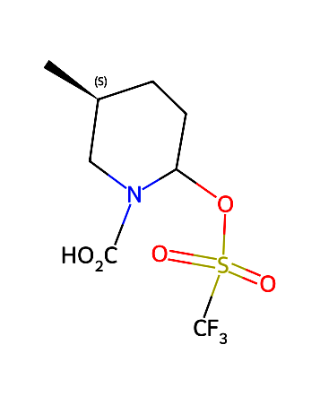 C[C@H]1CCC(OS(=O)(=O)C(F)(F)F)N(C(=O)O)C1